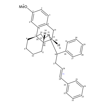 COc1ccc2c(c1)[C@@]13CCCC[C@H]1[C@@H](C2)N(C(C/C=C/c1ccccc1)c1ccccc1)CC3